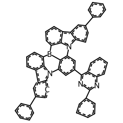 c1ccc(-c2ccc3c(c2)c2cccc4c2n3-c2cc(-c3nc(-c5ccccc5)nc5ccccc35)cc3c2B4c2cccc4c5cc(-c6ccccc6)ccc5n-3c24)cc1